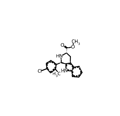 COC(=O)[C@@H]1Cc2c([nH]c3ccccc23)[C@@H](c2ccc(Cl)cc2C)N1